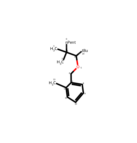 CCCCCC(C)(C)[C](OCc1ccccc1C)C(C)(C)C